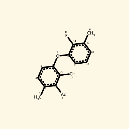 CC(=O)c1c(C)ccc(Oc2cccc(C)c2F)c1C